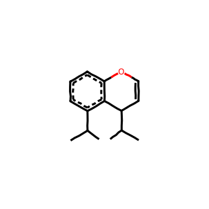 CC(C)c1cccc2c1C(C(C)C)C=CO2